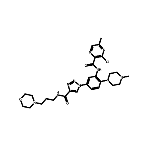 Cc1cnc(C(=O)Nc2cc(-n3cc(C(=O)NCCCN4CCOCC4)nn3)ccc2N2CCN(C)CC2)c(Cl)n1